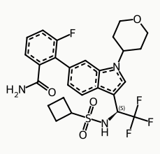 NC(=O)c1cccc(F)c1-c1ccc2c([C@H](NS(=O)(=O)C3CCC3)C(F)(F)F)cn(C3CCOCC3)c2c1